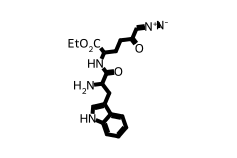 CCOC(=O)C(CCC(=O)C=[N+]=[N-])NC(=O)C(N)Cc1c[nH]c2ccccc12